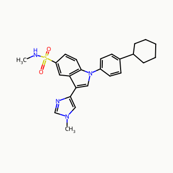 CNS(=O)(=O)c1ccc2c(c1)c(-c1cn(C)cn1)cn2-c1ccc(C2CCCCC2)cc1